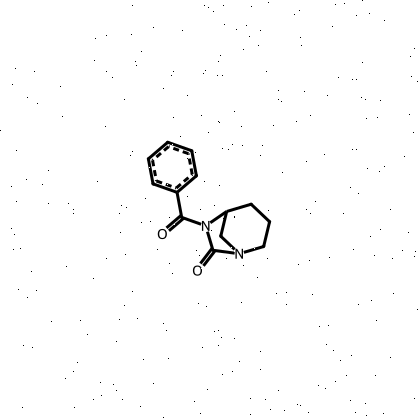 O=C(c1ccccc1)N1C(=O)N2CCCC1C2